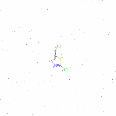 ClCc1nnc(Cl)s1